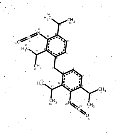 CC(C)c1ccc(Cc2ccc(C(C)C)c(N=C=O)c2C(C)C)c(C(C)C)c1N=C=O